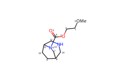 COCCOC(=O)N1CC2CCC1CNC2